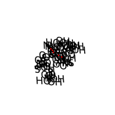 COc1cc2c(cc1OCc1cc(COc3cc4c(cc3OC)C(=O)N3Cc5ccsc5C[C@H]3C(O)N4C(=O)OCc3ccc(O[C@@H]4O[C@H](CO)[C@H](O)[C@H](O)[C@H]4O)cc3)cc(OS(=O)(=O)Oc3cc(C(=O)N(C)CCOCCN=[N+]=[N-])ccc3O[C@@H]3O[C@H](CO)[C@H](O)[C@H](O)[C@H]3O)c1)N(C(=O)OCc1ccc(O[C@@H]3O[C@H](CO)[C@H](O)[C@H](O)[C@H]3O)cc1)C(O)[C@H]1Cc3sccc3CN1C2=O